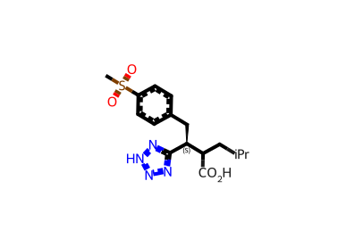 CC(C)CC(C(=O)O)[C@H](Cc1ccc(S(C)(=O)=O)cc1)c1nn[nH]n1